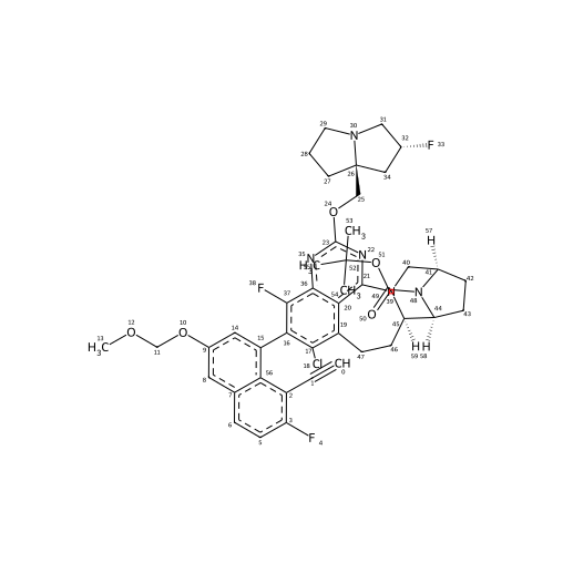 C#Cc1c(F)ccc2cc(OCOC)cc(-c3c(Cl)c4c5c(nc(OC[C@@]67CCCN6C[C@H](F)C7)nc5c3F)N3C[C@H]5CC[C@@H]([C@H]3CC4)N5C(=O)OC(C)(C)C)c12